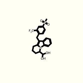 CS(=O)(=O)c1ccc(Cc2c3n(c4ccccc24)C(C(O)O)CCC3)c(C(F)(F)F)c1